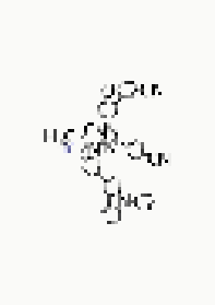 C=Cc1c(/C=C\C)c2ccc(-c3ccc4c(c3)c3ccccc3n4-c3ccccc3)cc2n1-c1nc(-c2ccc(C#N)cc2)cc(-c2ccc3oc4ccc(C#N)cc4c3c2)n1